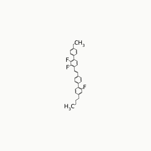 CCCCc1ccc(-c2ccc(/C=C/c3ccc(-c4ccc(CC)cc4)c(F)c3F)cc2)c(F)c1